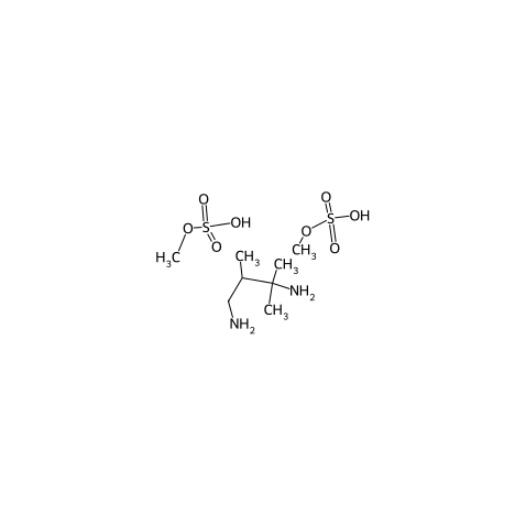 CC(CN)C(C)(C)N.COS(=O)(=O)O.COS(=O)(=O)O